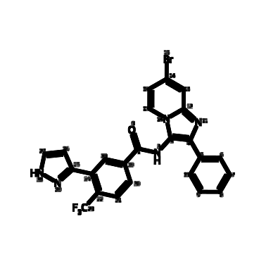 O=C(Nc1c(-c2ccccc2)nc2cc(Br)ccn12)c1ccc(C(F)(F)F)c(-c2cc[nH]n2)c1